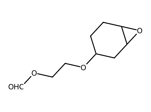 O=COCCOC1CCC2OC2C1